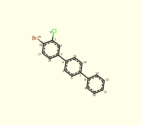 Clc1cc(-c2ccc(-c3ccccc3)cc2)ccc1Br